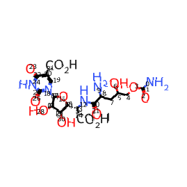 NC(=O)OCC(O)CC(N)C(=O)NC(C(=O)O)[C@H]1O[C@@H](n2cc(C(=O)O)c(=O)[nH]c2=O)[C@H](O)[C@@H]1O